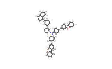 c1cc(-c2cccc(N(c3ccc(-c4ccc5c(c4)oc4ccccc45)cc3)c3ccc(-c4ccc5c(c4)sc4ccccc45)cc3)c2)cc(-c2cccc3ccccc23)c1